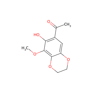 COc1c(O)c(C(C)=O)cc2c1OCCO2